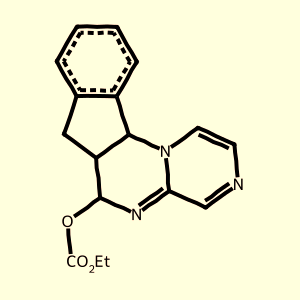 CCOC(=O)OC1N=C2C=NC=CN2C2c3ccccc3CC12